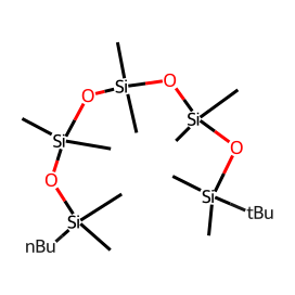 CCCC[Si](C)(C)O[Si](C)(C)O[Si](C)(C)O[Si](C)(C)O[Si](C)(C)C(C)(C)C